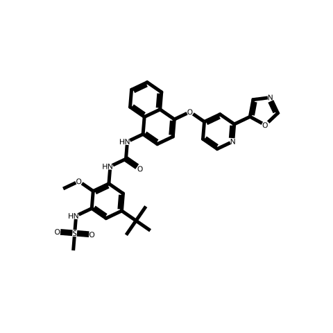 COc1c(NC(=O)Nc2ccc(Oc3ccnc(-c4cnco4)c3)c3ccccc23)cc(C(C)(C)C)cc1NS(C)(=O)=O